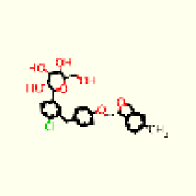 Cc1ccc2c(c1)CO[C@H]2COc1ccc(Cc2cc([C@@H]3O[C@H](CO)[C@@H](O)[C@H](O)[C@H]3O)ccc2Cl)cc1